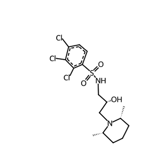 C[C@@H]1CCC[C@H](C)N1C[C@@H](O)CNS(=O)(=O)c1ccc(Cl)c(Cl)c1Cl